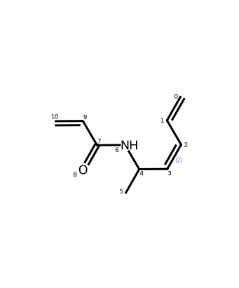 C=C/C=C\C(C)NC(=O)C=C